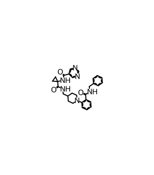 O=C(NC1(C(=O)NCC2CCN(c3ccccc3C(=O)NCc3ccccc3)CC2)CC1)c1cncnc1